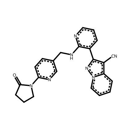 N#Cc1c(-c2cccnc2NCc2ccc(N3CCCC3=O)nc2)nn2ccccc12